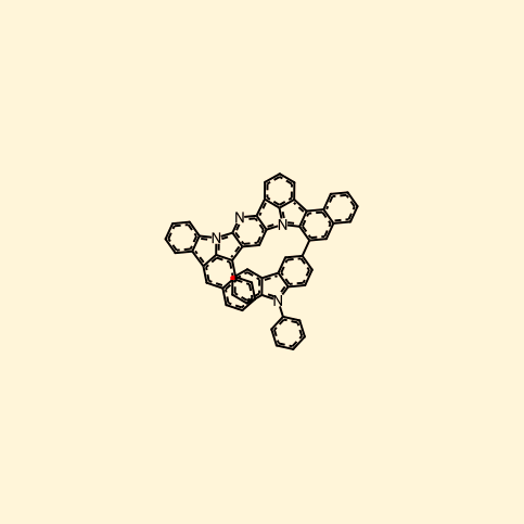 c1ccc(-n2c3ccccc3c3cc(-c4cc5ccccc5c5c6cccc7c8nc9c(cc8n(c45)c76)c4c5ccccc5cc5c6ccccc6n9c54)ccc32)cc1